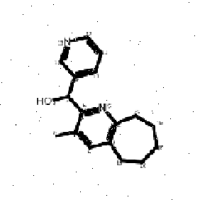 Cc1cc2c(nc1C(O)c1cccnc1)CCCCC2